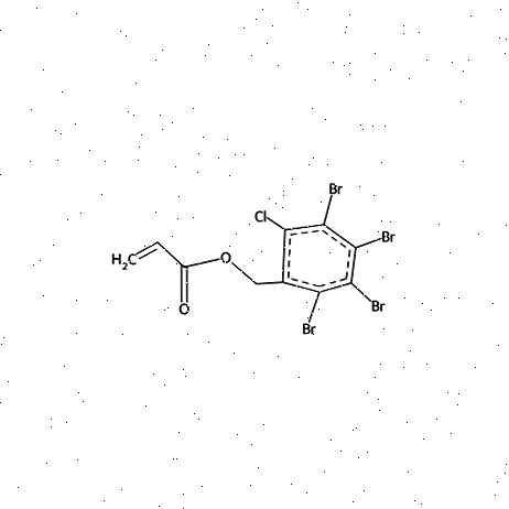 C=CC(=O)OCc1c(Cl)c(Br)c(Br)c(Br)c1Br